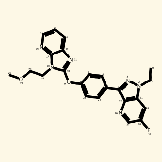 CCn1nc(-c2ccc(Oc3nc4cccnc4n3CCOC)cc2)c2ncc(F)cc21